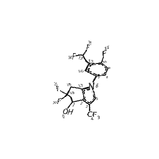 OC1c2c(C(F)(F)F)cn(-c3ccc(F)c(C(F)F)c3)c2CC1(F)F